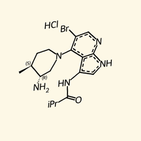 CC(C)C(=O)Nc1c[nH]c2ncc(Br)c(N3CC[C@H](C)[C@@H](N)C3)c12.Cl